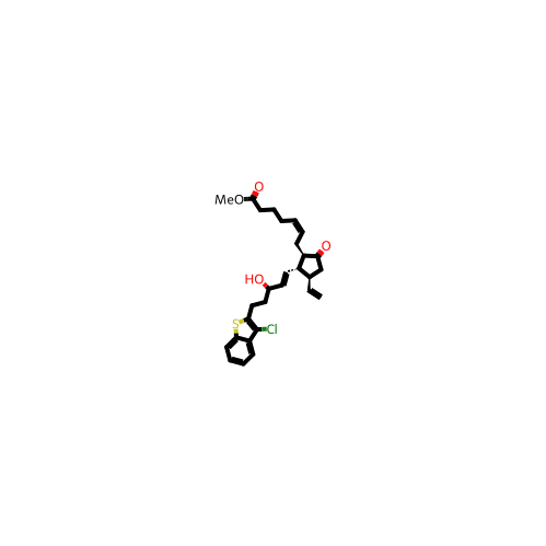 C=C[C@@H]1CC(=O)[C@H](C/C=C\CCCC(=O)OC)[C@H]1/C=C/C(O)CCc1sc2ccccc2c1Cl